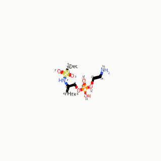 CCCCCCCCCCS(=O)(=O)NC(CCCCCC)COP(=O)(O)OCCN